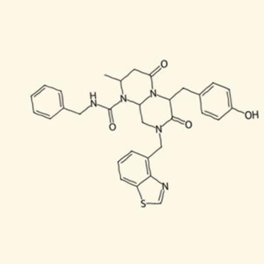 CC1CC(=O)N2C(Cc3ccc(O)cc3)C(=O)N(Cc3cccc4scnc34)CC2N1C(=O)NCc1ccccc1